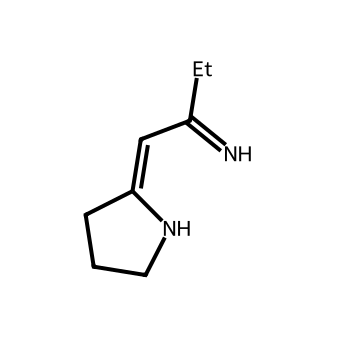 CCC(=N)/C=C1/CCCN1